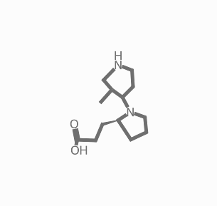 CC1CNCCC1N1CCC[C@H]1CCC(=O)O